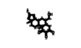 CC12C=C(F)C=C1C1CC(CO)C3CC(=O)C(=O)C(=O)C3(C)C1CC2